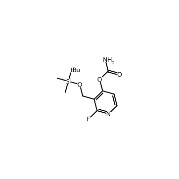 CC(C)(C)[Si](C)(C)OCc1c(OC(N)=O)ccnc1F